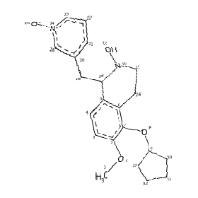 COc1ccc2c(c1OC1CCCC1)CCN(O)C2Cc1ccc[n+]([O-])c1